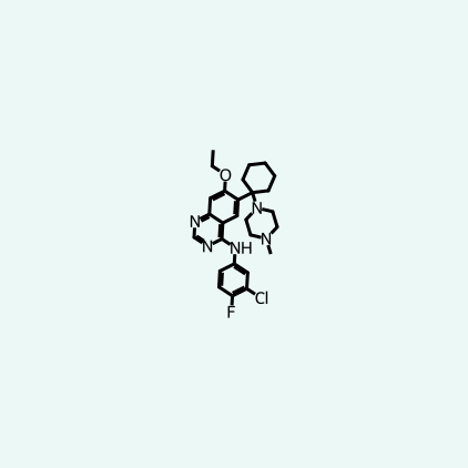 CCOc1cc2ncnc(Nc3ccc(F)c(Cl)c3)c2cc1C1(N2CCN(C)CC2)CCCCC1